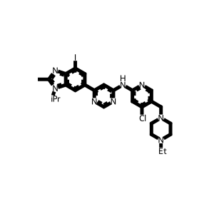 CCN1CCN(Cc2cnc(Nc3cc(-c4cc(I)c5nc(C)n(C(C)C)c5c4)ncn3)cc2Cl)CC1